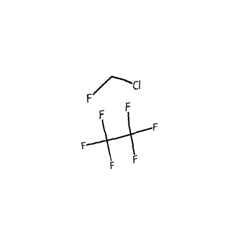 FC(F)(F)C(F)(F)F.FCCl